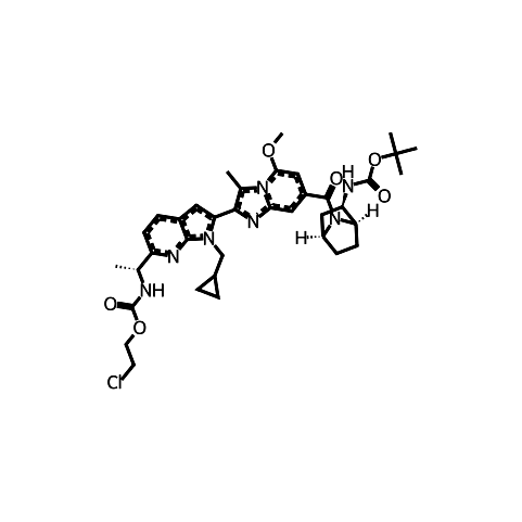 COc1cc(C(=O)N2[C@H]3CC[C@@H]2[C@H](NC(=O)OC(C)(C)C)C3)cc2nc(-c3cc4ccc([C@@H](C)NC(=O)OCCCl)nc4n3CC3CC3)c(C)n12